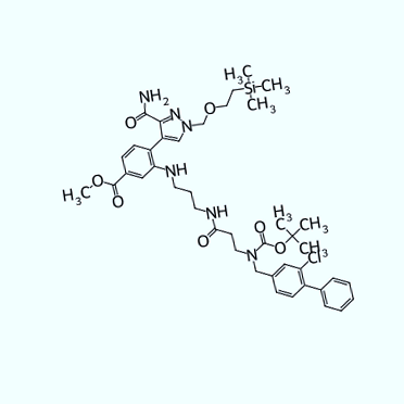 COC(=O)c1ccc(-c2cn(COCC[Si](C)(C)C)nc2C(N)=O)c(NCCCNC(=O)CCN(Cc2ccc(-c3ccccc3)c(Cl)c2)C(=O)OC(C)(C)C)c1